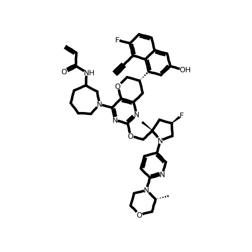 C#Cc1c(F)ccc2cc(O)cc([C@H]3COc4c(nc(OC[C@]5(C)C[C@@H](F)CN5c5ccc(N6CCOC[C@H]6C)nc5)nc4N4CCCCC(NC(=O)C=C)C4)C3)c12